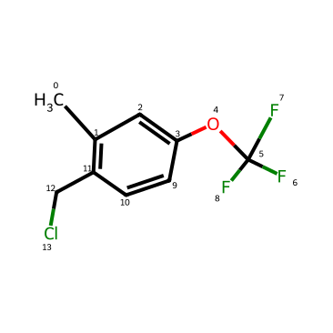 Cc1cc(OC(F)(F)F)ccc1CCl